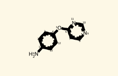 Nc1ccc(Oc2ccncn2)cc1